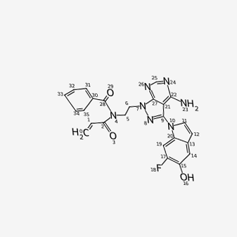 C=CC(=O)N(CCn1nc(-n2ccc3cc(O)c(F)cc32)c2c(N)ncnc21)C(=O)c1ccccc1